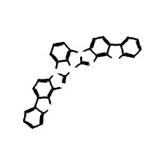 c1ccc2c(c1)oc1c2ccc2c1nc1n2c2cccc3c2n1c1nc2c4oc5ccccc5c4ccc2n31